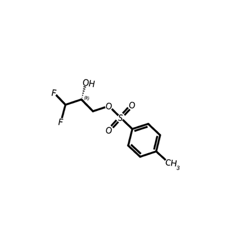 Cc1ccc(S(=O)(=O)OC[C@@H](O)C(F)F)cc1